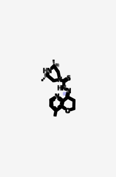 Cc1ccnc2c1OCC/C2=N/NC(=S)N1C[C@@H](C)N[C@@H](C)C1